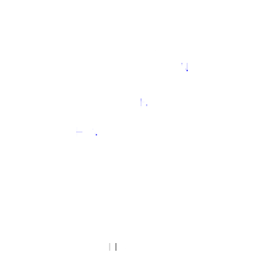 CCCCC(N)n1cnc2ccccc21